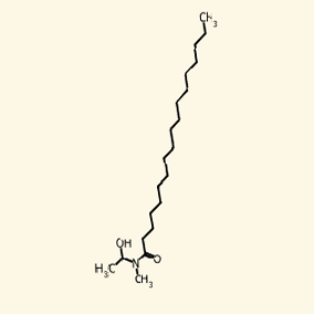 CCCCCCCCCCCCCCCCCC(=O)N(C)C(C)O